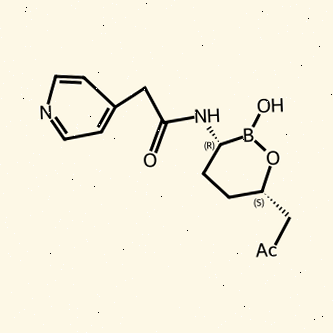 CC(=O)C[C@@H]1CC[C@H](NC(=O)Cc2ccncc2)B(O)O1